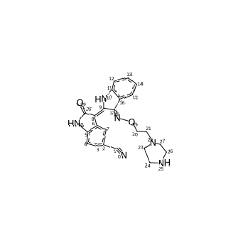 N#Cc1ccc2c(c1)/C(=C1/Nc3ccccc3/C1=N\OCCN1CCNCC1)C(=O)N2